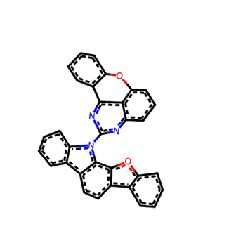 c1ccc2c(c1)Oc1cccc3nc(-n4c5ccccc5c5ccc6c7ccccc7oc6c54)nc-2c13